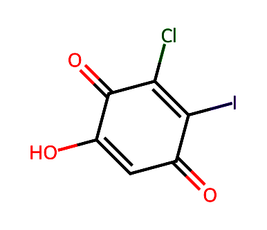 O=C1C=C(O)C(=O)C(Cl)=C1I